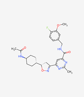 COc1cc(CNC(=O)c2cc(C3=NO[C@H]([C@H]4CC[C@H](NC(C)=O)CC4)C3)nc(C)n2)ccc1F